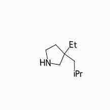 CCC1(CC(C)C)CCNC1